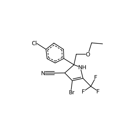 CCOCC1(c2ccc(Cl)cc2)NC(C(F)(F)F)=C(Br)C1C#N